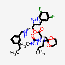 CCCCC1(C[C@@H](NC(=O)NC)C(=O)O[C@H](CNCc2cccc(CC)c2)[C@@H](N)Cc2cc(F)cc(F)c2)OCCCO1